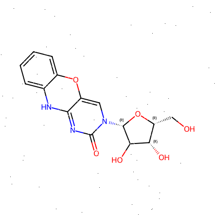 O=c1nc2c(cn1[C@@H]1O[C@H](CO)[C@H](O)C1O)Oc1ccccc1N2